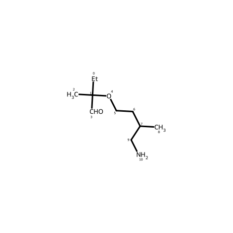 CCC(C)(C=O)OCCC(C)CN